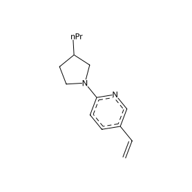 C=Cc1ccc(N2CCC(CCC)C2)nc1